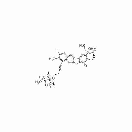 CC[C@@]1(O)C(=O)OCc2c1cc1n(c2=O)Cc2cc3c(C#CCCO[Si](C)(C)C(C)(C)C)c(C)c(F)cc3nc2-1